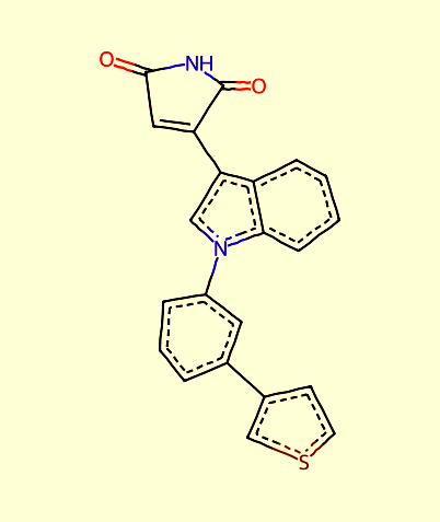 O=C1C=C(c2cn(-c3cccc(-c4ccsc4)c3)c3ccccc23)C(=O)N1